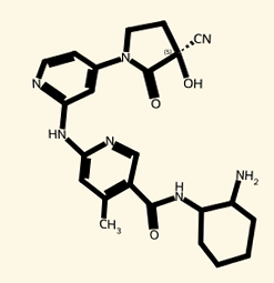 Cc1cc(Nc2cc(N3CC[C@](O)(C#N)C3=O)ccn2)ncc1C(=O)NC1CCCCC1N